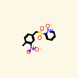 Cc1ccc(CS(=O)(=O)c2cccc[n+]2[O-])cc1[N+](=O)[O-]